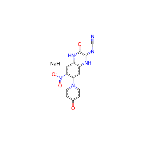 N#C/N=c1/[nH]c2cc(-n3ccc(=O)cc3)c([N+](=O)[O-])cc2[nH]c1=O.[NaH]